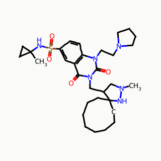 CN1CC(Cn2c(=O)c3cc(S(=O)(=O)NC4(C)CC4)ccc3n(CCN3CCCC3)c2=O)C2(CCCCCCCC2)N1